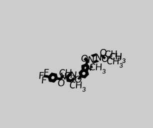 Cc1cc(N(C)C(=O)c2ccc(C(F)(F)F)cc2)cnc1Oc1ccc2c(c1)cc(C(=O)N1CCN(C(=O)OC(C)(C)C)CC1)n2C